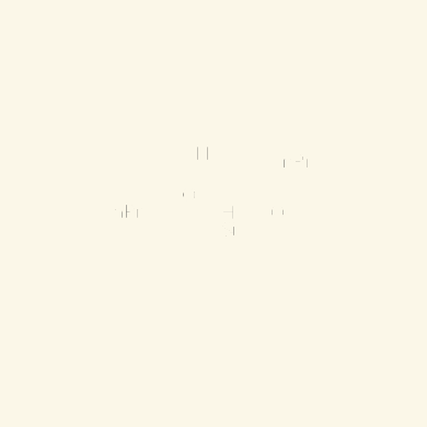 CCCO[SiH](C)OCCC.[H+]